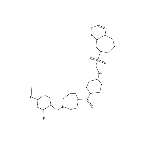 COC1CCC(CN2CCCN(C(=O)C3CCC(NCS(=O)(=O)C4CCCC5C=CC=NC5C4)CC3)CC2)C(F)C1